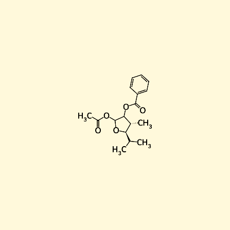 CC(=O)OC1O[C@H](C(C)C)[C@@H](C)C1OC(=O)c1ccccc1